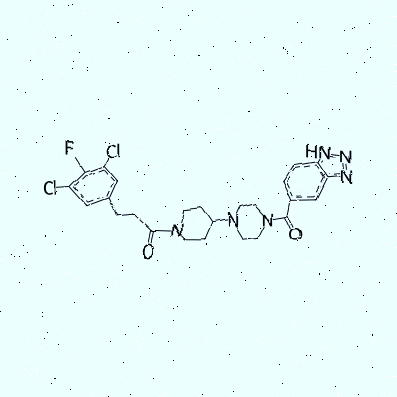 O=C(CCc1cc(Cl)c(F)c(Cl)c1)N1CCC(N2CCN(C(=O)c3ccc4[nH]nnc4c3)CC2)CC1